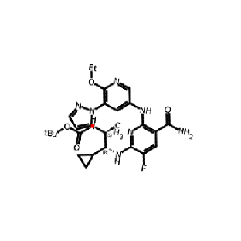 CCOc1ncc(Nc2nc(N[C@H](C3CC3)[C@H](C)NC(=O)OC(C)(C)C)c(F)cc2C(N)=O)cc1-n1cccn1